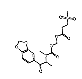 CC(C(=O)c1ccc2c(c1)OCO2)N(C)C(=O)OCOC(=O)CCS(C)(=O)=O